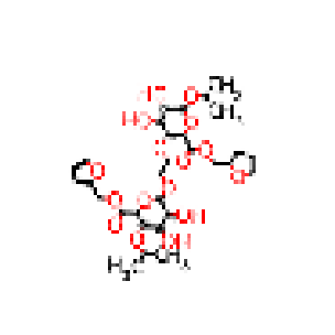 CC(C)O[C@@H]1OC(C(=O)OCC2CCCO2)[C@@H](OCCO[C@@H]2OC(C(=O)OCc3ccco3)[C@@H](OC(C)C)[C@H](O)[C@@H]2O)[C@H](O)[C@@H]1O